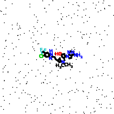 CC(C)N(C[C@H]1C[C@H](O)C[C@H]1n1ccc2c(N)ncnc21)C1CC(CCc2nc3cc(Cl)c(C(F)(F)F)cc3[nH]2)C1